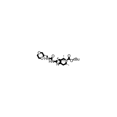 C[C@@H]1Cc2nc(NC(=O)NC[C@H]3COCCO3)sc2[C@H](C)N1C(=O)OC(C)(C)C